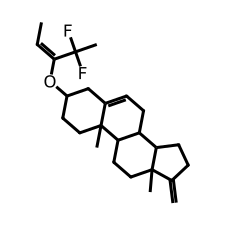 C=C1CCC2C3CC=C4CC(O/C(=C/C)C(C)(F)F)CCC4(C)C3CCC12C